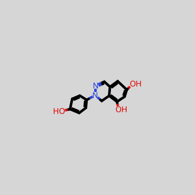 Oc1ccc(N2Cc3c(O)cc(O)cc3C=N2)cc1